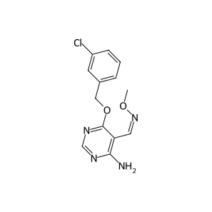 CO/N=C\c1c(N)ncnc1OCc1cccc(Cl)c1